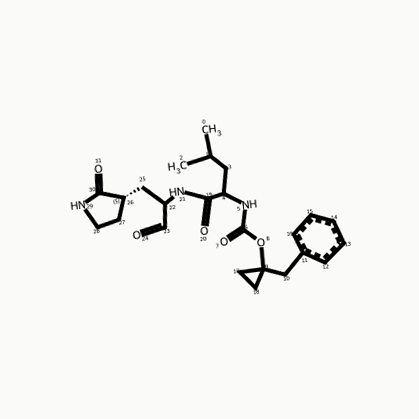 CC(C)CC(NC(=O)OC1(Cc2ccccc2)CC1)C(=O)NC(C=O)C[C@@H]1CCNC1=O